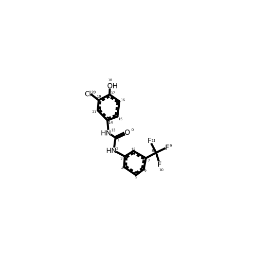 O=C(Nc1cccc(C(F)(F)F)c1)Nc1ccc(O)c(Cl)c1